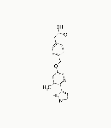 CC1CC(OCc2ccc(CC(=O)O)cc2)=CN=C1c1ccn[nH]1